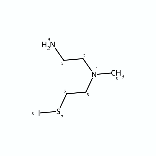 CN(CCN)CCSI